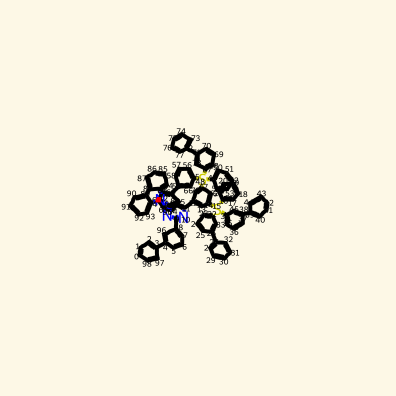 c1ccc(-c2cccc(-c3nc(-c4cc(S(c5ccccc5)(c5cccc(-c6ccccc6)c5)c5cccc(-c6ccccc6)c5)cc(S(c5ccccc5)(c5cccc(-c6ccccc6)c5)c5cccc(-c6ccccc6)c5)c4)cc(-n4c5ccccc5c5ccccc54)n3)c2)cc1